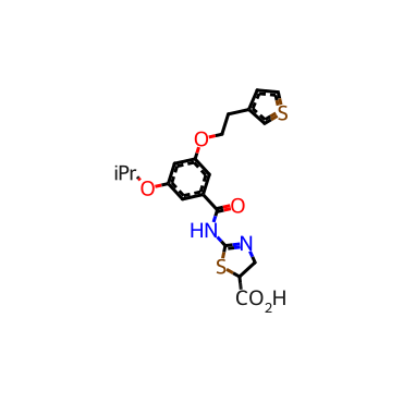 CC(C)Oc1cc(OCCc2ccsc2)cc(C(=O)NC2=NCC(C(=O)O)S2)c1